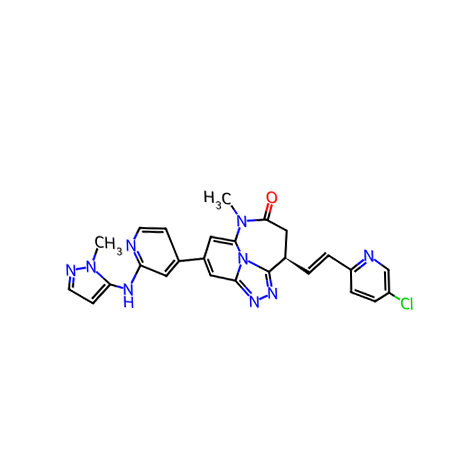 CN1C(=O)C[C@@H](/C=C/c2ccc(Cl)cn2)c2nnc3cc(-c4ccnc(Nc5ccnn5C)c4)cc1n23